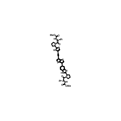 COC(=O)N[C@H](C(=O)N1CCCC1c1ncc(C#Cc2csc3c(-c4ccc5[nH]c(C6CCCN6C(=O)[C@H](NC(=O)OC)C(C)C)nc5c4)csc23)[nH]1)C(C)C